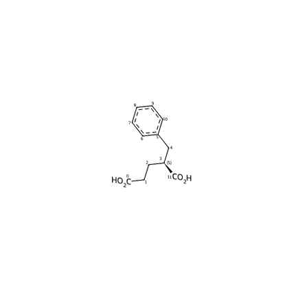 O=C(O)CC[C@@H](Cc1ccccc1)C(=O)O